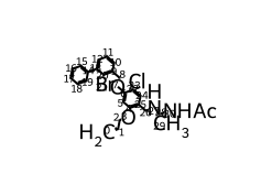 C=CCOc1cc(OCc2cccc(-c3ccccc3)c2Br)c(Cl)cc1CNC(C)NC(C)=O